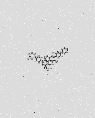 Cc1nc(-c2ccncc2)ccc1-c1cc2cnc(Nc3ccc(C4CCCN(C)C4)cc3)nc2n(CC2CCOCC2)c1=O